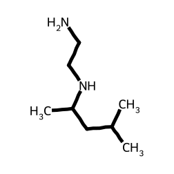 CC(C)CC(C)NCCN